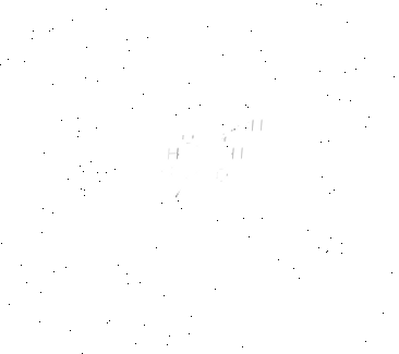 C=CCO[C@@]1(CC=C)CO[C@@H]2[C@H](O)CO[C@@H]21